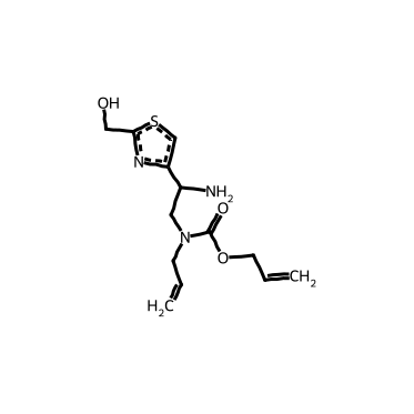 C=CCOC(=O)N(CC=C)CC(N)c1csc(CO)n1